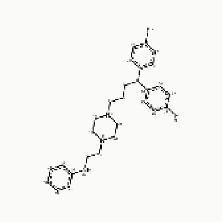 Fc1ccc(C(CCCN2CCN(CCNc3ccccc3)CC2)c2ccc(F)cc2)cc1